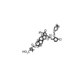 CC(C)C1=C2[C@H]3CC[C@@H]4[C@@]5(C)CC[C@H](OC(=O)[C@H]6C[C@@H](C(=O)O)C6(C)C)C(C)(C)[C@@H]5CC[C@@]4(C)[C@]3(C)CC[C@@]2(CC(=O)NCc2ccc(Cl)cc2OCCN2CCS(=O)(=O)CC2)CC1=O